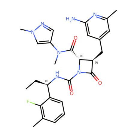 CC[C@@H](NC(=O)N1C(=O)[C@H](Cc2cc(C)nc(N)c2)[C@H]1C(=O)N(C)c1cnn(C)c1)c1cccc(C)c1F